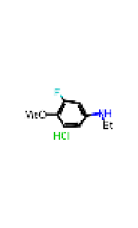 CCNc1ccc(OC)c(F)c1.Cl